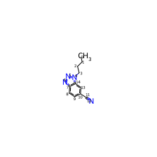 CCCCn1nnc2ccc(C#N)cc21